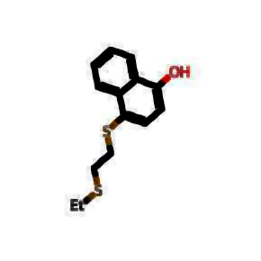 CCSCCSc1ccc(O)c2ccccc12